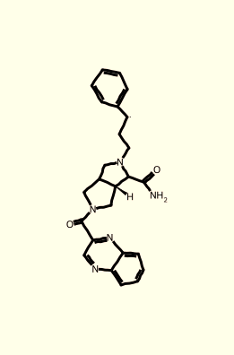 NC(=O)C1[C@@H]2CN(C(=O)c3cnc4ccccc4n3)CC2CN1CC[CH]c1ccccc1